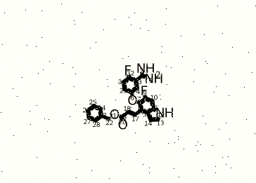 N=C(N)c1cc(Oc2c(F)cc3[nH]ccc3c2/C=C/C(=O)OCc2ccccc2)ccc1F